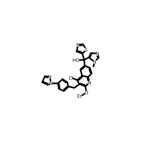 CCOc1nc2ccc(C(O)(c3cncs3)c3cncn3C)cc2c(Cl)c1Cc1ccc(-n2cccn2)cc1